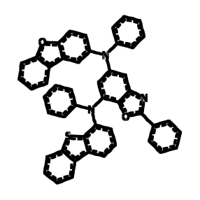 c1ccc(-c2nc3cc(N(c4ccccc4)c4ccc5oc6ccccc6c5c4)cc(N(c4ccccc4)c4cccc5c4sc4ccccc45)c3o2)cc1